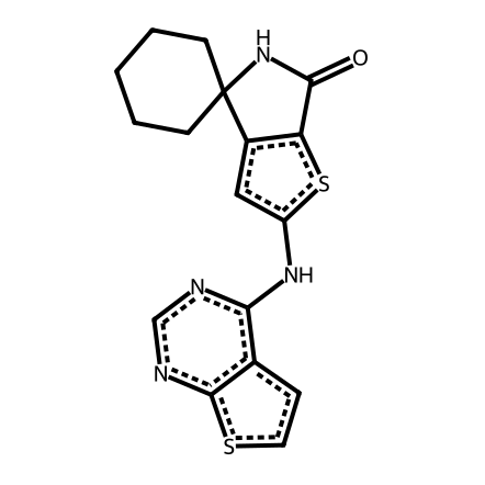 O=C1NC2(CCCCC2)c2cc(Nc3ncnc4sccc34)sc21